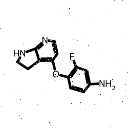 Nc1ccc(Oc2ccnc3c2CCN3)c(F)c1